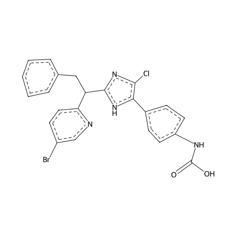 O=C(O)Nc1ccc(-c2[nH]c(C(Cc3ccccc3)c3ccc(Br)cn3)nc2Cl)cc1